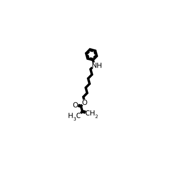 C=C(C)C(=O)OCCCCCCCNc1ccccc1